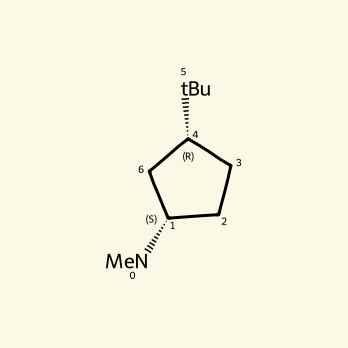 CN[C@H]1CC[C@@H](C(C)(C)C)C1